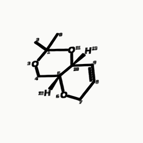 CC1(C)OC[C@H]2OCC=C[C@H]2O1